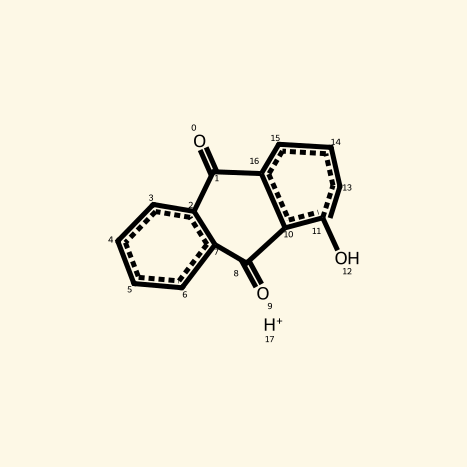 O=C1c2ccccc2C(=O)c2c(O)cccc21.[H+]